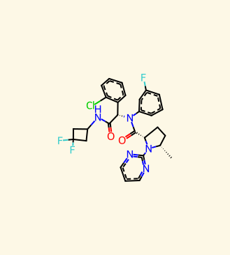 C[C@H]1CC[C@@H](C(=O)N(c2cccc(F)c2)[C@H](C(=O)NC2CC(F)(F)C2)c2ccccc2Cl)N1c1ncccn1